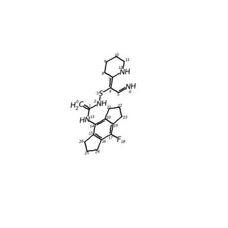 C=C(NS/C(C=N)=C1\CCCCN1)Nc1c2c(c(F)c3c1CCC3)CCC2